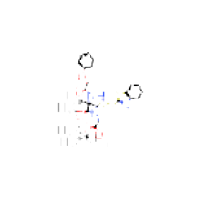 C=C(C)C1(NC(=O)COc2ccccc2)C(=O)N(CC(=O)O[Si](C)(C)C)C1SSc1nc2ccccc2s1